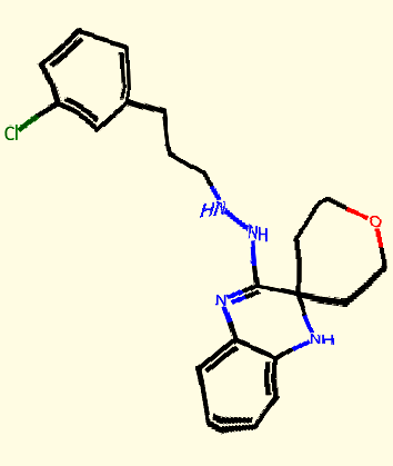 Clc1cccc(CCCNNC2=Nc3ccccc3NC23CCOCC3)c1